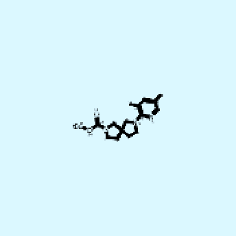 Cc1cnc(N2CCC3(CCN(C(=O)OC(C)(C)C)C3)C2)c(C)c1